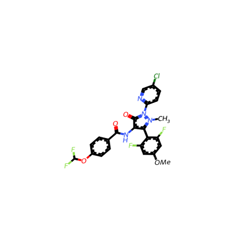 COc1cc(F)c(-c2c(NC(=O)c3ccc(OC(F)F)cc3)c(=O)n(-c3ccc(Cl)cn3)n2C)c(F)c1